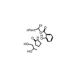 CC(O)CO.CCCCCC(CC)OC(=O)c1ccccc1O.O=C1CCCN1